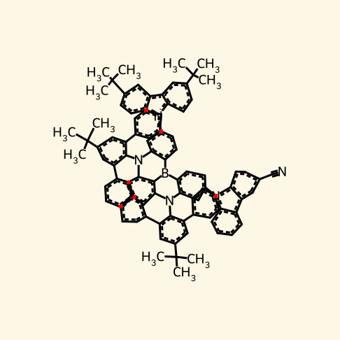 CC(C)(C)c1cc(-c2ccccc2)c(N2c3cc(-n4c5ccccc5c5cc(C#N)ccc54)ccc3B3c4ccc(-n5c6ccc(C(C)(C)C)cc6c6cc(C(C)(C)C)ccc65)cc4N(c4c(-c5ccccc5)cc(C(C)(C)C)cc4-c4ccccc4)c4cccc2c43)c(-c2ccccc2)c1